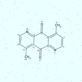 Cc1ccnc2c1C(=O)c1nccc(C)c1C2=O